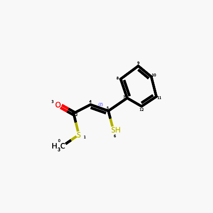 CSC(=O)/C=C(\S)c1ccccc1